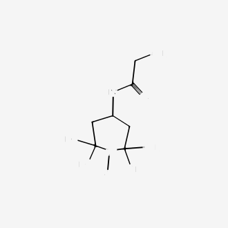 CCC(=O)NC1CC(C)(C)[S+]([O-])C(C)(C)C1